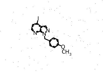 COc1ccc(Cn2ncc3c(I)ccnc32)cc1